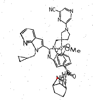 COc1cc(C(=O)N2CC3CCC2[C@@H]3N)cc2nc(-c3cc4cccnc4n3CC3CC3)n(C[C@]3(S(=O)(=O)c4ccc(Br)cc4)CCN(c4cncc(C#N)n4)C3)c12